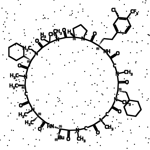 CC[C@H](C)[C@@H]1NC(=O)[C@H](C)N(C)C(=O)C[C@@H](C)N(C)C(=O)[C@H](C2CCCCC2)N(C)C(=O)C(C)(C)N(C)C(=O)[C@@H]2CCCN2C(=O)[C@H](CCc2ccc(C(F)(F)F)c(Cl)c2)NC(=O)CN(C)C(=O)[C@H](CC2CCCCC2)N(C)C(=O)CN(C)C(=O)CN(C)C1=O